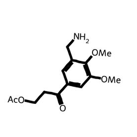 COc1cc(C(=O)CCOC(C)=O)cc(CN)c1OC